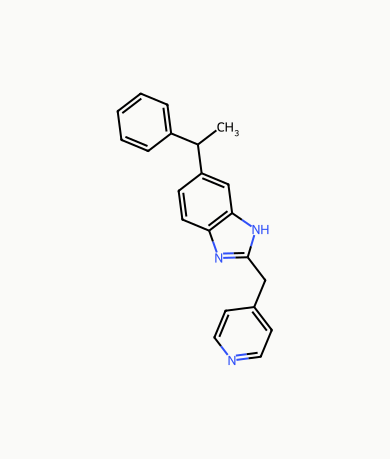 CC(c1ccccc1)c1ccc2nc(Cc3ccncc3)[nH]c2c1